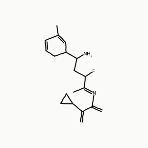 C=C(/N=C(\C)C(F)CC(N)C1C=C(C)C=CC1)C(=C)C1CC1